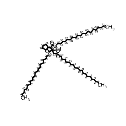 CCCCCCCCCCCCCCCCCCCCOC(=O)CC(O)(C(=O)OCCCCCCCCCCCCCCCCCCCC)C(C(=O)OCCCCCCCCCCCCCCCCCCCC)C1CCCC1